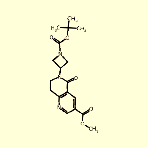 COC(=O)c1cnc2c(c1)C(=O)N(C1CN(C(=O)OC(C)(C)C)C1)CC2